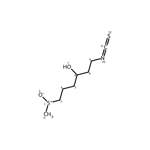 C[S+]([O-])CCCC(O)CCN=C=S